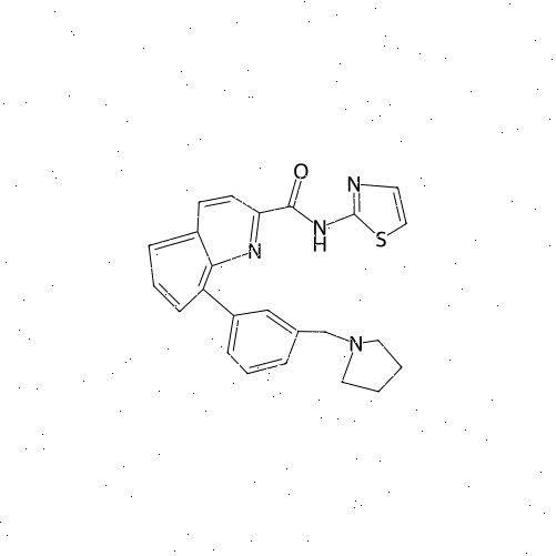 O=C(Nc1nccs1)c1ccc2cccc(-c3cccc(CN4CCCC4)c3)c2n1